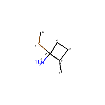 CSC1(N)CCC1C